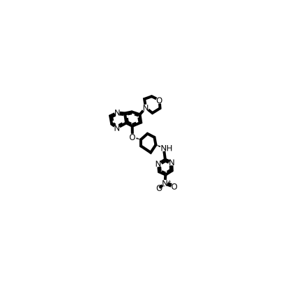 O=[N+]([O-])c1cnc(N[C@H]2CC[C@@H](Oc3cc(N4CCOCC4)cc4nccnc34)CC2)nc1